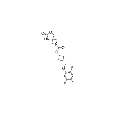 O=C1NC2(CO1)CN(C(=O)O[C@H]1C[C@@H](COc3cc(F)c(F)cc3F)C1)C2